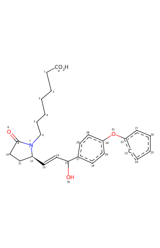 O=C(O)CCCCCCN1C(=O)CC[C@@H]1/C=C/C(O)c1ccc(Oc2ccccc2)cc1